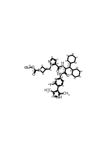 Cc1n[nH]c(C)c1-c1ccc(NC(=O)C(NC(=O)c2ccnn2CC2CN(C(=O)OC(C)(C)C)C2)C(C2CCCCC2)C2CCCCC2)nc1F